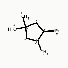 CC(C)[C@@H]1CC(C)(C)CN1C